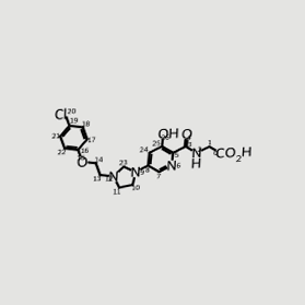 O=C(O)CNC(=O)c1ncc(N2CCN(CCOc3ccc(Cl)cc3)C2)cc1O